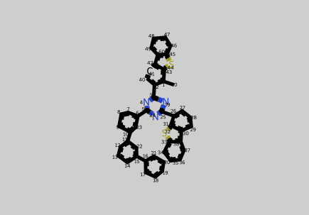 Cc1c(-c2nc(-c3cccc(-c4cccc(-c5ccccc5)c4)c3)nc(-c3cccc4c3sc3ccccc34)n2)ccc2c1sc1ccccc12